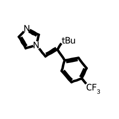 CC(C)(C)C(=Cn1ccnc1)c1ccc(C(F)(F)F)cc1